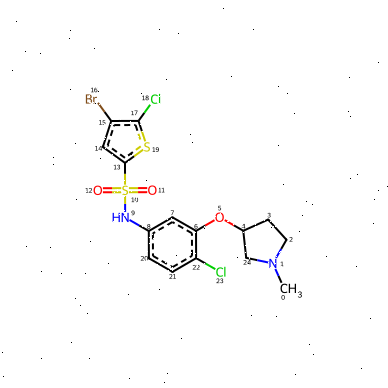 CN1CCC(Oc2cc(NS(=O)(=O)c3cc(Br)c(Cl)s3)ccc2Cl)C1